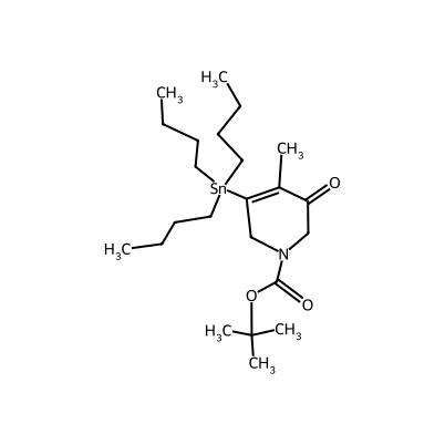 CCC[CH2][Sn]([CH2]CCC)([CH2]CCC)[C]1=C(C)C(=O)CN(C(=O)OC(C)(C)C)C1